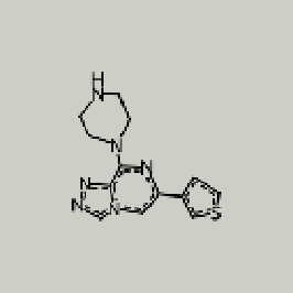 c1cc(-c2cn3cnnc3c(N3CCNCC3)n2)cs1